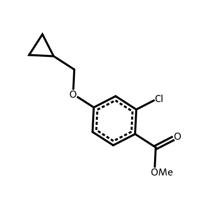 COC(=O)c1ccc(OCC2CC2)cc1Cl